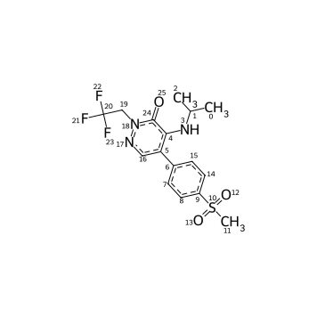 CC(C)Nc1c(-c2ccc(S(C)(=O)=O)cc2)cnn(CC(F)(F)F)c1=O